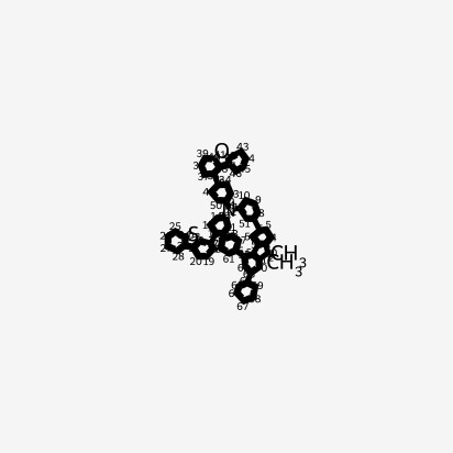 CC1(C)c2ccc(-c3cccc(N(c4ccc(-c5cccc6c5sc5ccccc56)cc4)c4ccc(-c5cccc6oc7ccccc7c56)cc4)c3)cc2-c2c(-c3ccccc3)cc(-c3ccccc3)cc21